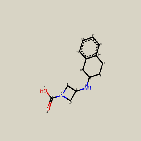 O=C(O)N1CC(NC2CCc3ccccc3C2)C1